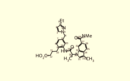 CCc1ccn(Cc2ccc(CCCC(=O)O)c(NC(=O)C(C)n3cc(C)c4ccc(C(=O)NC)cc43)c2)n1